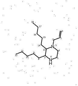 C=CCN1CCNC(CCCCC)C1CCCCC